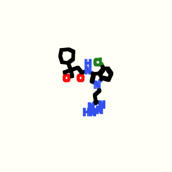 O=C(CC1(C2CCCCCC2)COC1)Nc1cn(CCc2nn[nH]n2)c2cccc(Cl)c12